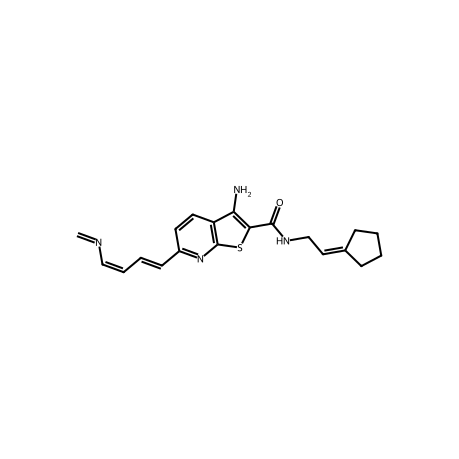 C=N/C=C\C=C\c1ccc2c(N)c(C(=O)NCC=C3CCCC3)sc2n1